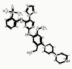 CCc1cc(Nc2ncc(-n3cncn3)c(Nc3ccccc3P(C)(C)=O)n2)c(OC)cc1N1CCC(N2CCNCC2)CC1